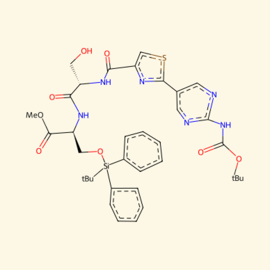 COC(=O)[C@H](CO[Si](c1ccccc1)(c1ccccc1)C(C)(C)C)NC(=O)[C@H](CO)NC(=O)c1csc(-c2cnc(NC(=O)OC(C)(C)C)nc2)n1